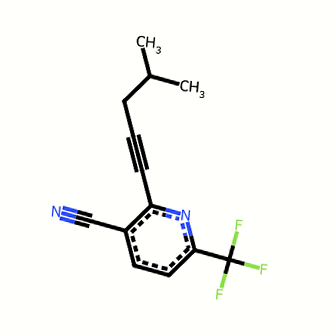 CC(C)CC#Cc1nc(C(F)(F)F)ccc1C#N